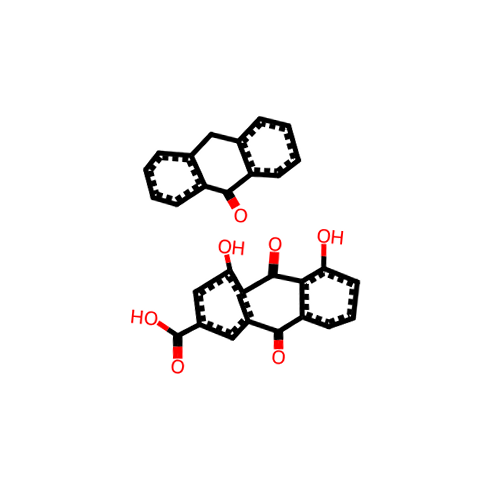 O=C(O)c1cc(O)c2c(c1)C(=O)c1cccc(O)c1C2=O.O=C1c2ccccc2Cc2ccccc21